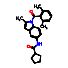 Cc1cccc(C)c1C(=O)n1c(C)cc2cc(NC(=O)C3CCCC3)ccc21